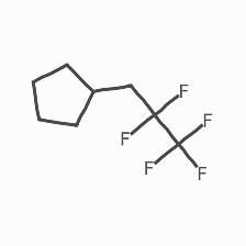 FC(F)(F)C(F)(F)CC1CCCC1